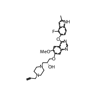 C#CCN1CCN(C[C@@H](O)COc2cc3ncnc(Oc4ccc5[nH]c(C)cc5c4F)c3cc2OC)CC1